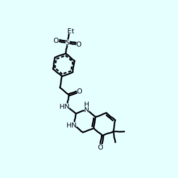 CCS(=O)(=O)c1ccc(CC(=O)NC2NCC3=C(C=CC(C)(C)C3=O)N2)cc1